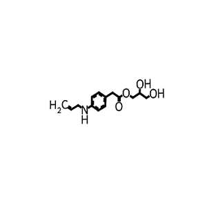 C=CCNc1ccc(CC(=O)OCC(O)CO)cc1